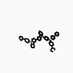 C/C=C\C(=C/C)C1CC=C(N(c2ccc(-c3ccccc3)cc2)c2ccc(-n3c4ccccc4c4cc(C5=CC6C7CCC=CC7N(C7CCC(C8C=CCCC8)CC7)C6C=C5)ccc43)cc2)CC1